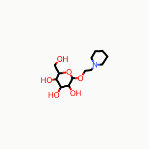 OCC1OC(OCCN2CCCCC2)C(O)C(O)C1O